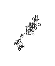 Cn1c(=O)n(C2CCC(=O)NC2=O)c2ccc(C3CCN(CCCC(=O)N4CC[C@H]5CC[C@@H](C(=O)N[C@@H](CCC(N)=O)C(=O)NC(c6ccccc6)c6ccccc6)N5C(=O)[C@@H](NC(=O)OC(C)(C)C)C4)CC3)cc21